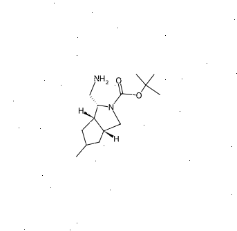 CC1C[C@H]2CN(C(=O)OC(C)(C)C)[C@@H](CN)[C@H]2C1